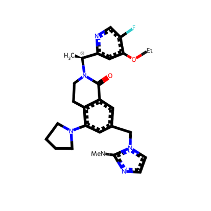 CCOc1cc([C@H](C)N2CCc3c(cc(Cn4ccnc4NC)cc3N3CCCC3)C2=O)ncc1F